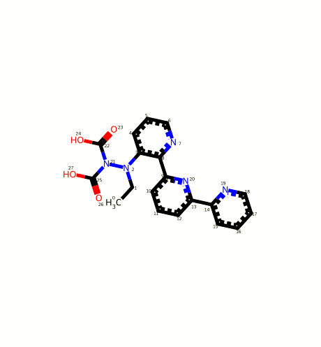 CCN(c1cccnc1-c1cccc(-c2ccccn2)n1)N(C(=O)O)C(=O)O